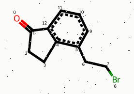 O=C1CCc2c(CCBr)cccc21